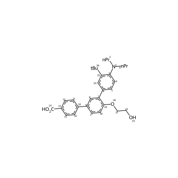 CCCN(CCC)c1ccc(-c2cc(-c3ccc(C(=O)O)cc3)ccc2OCCO)cc1C(C)(C)C